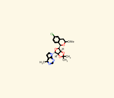 COC1Cc2cc(Cl)ccc2[C@H](C2O[C@@H](n3ccc4c(C)ncnc43)[C@@H]3OC(C)(C)O[C@H]23)O1